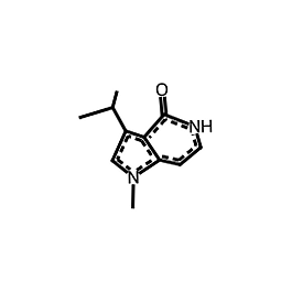 CC(C)c1cn(C)c2cc[nH]c(=O)c12